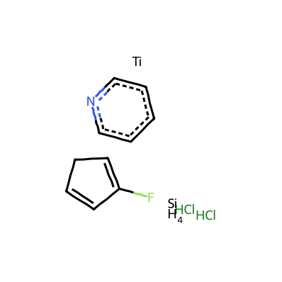 Cl.Cl.FC1=CCC=C1.[SiH4].[Ti].c1ccncc1